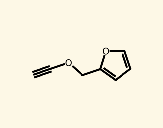 C#COCc1ccco1